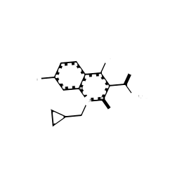 COC(=O)c1c(O)c2ccc(Br)cc2n(CC2CC2)c1=O